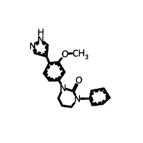 COc1cc(N2CCCN(c3ccccc3)C2=O)ccc1-c1cn[nH]c1